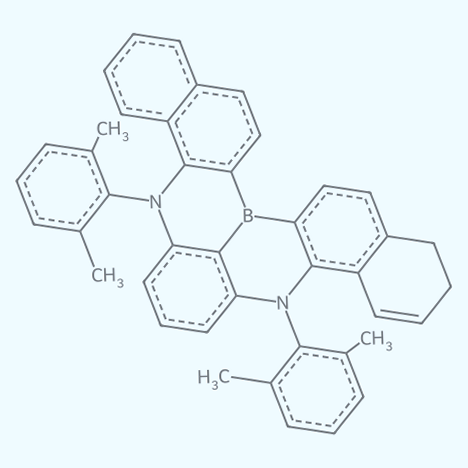 Cc1cccc(C)c1N1c2cccc3c2B(c2ccc4c(c21)C=CCC4)c1ccc2ccccc2c1N3c1c(C)cccc1C